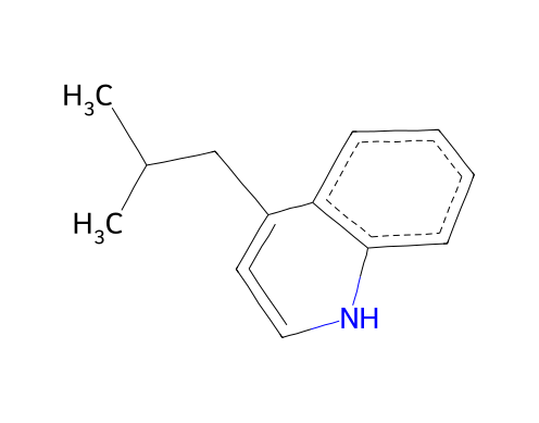 CC(C)CC1=C=CNc2ccccc21